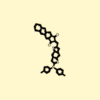 Cc1ccc(N(c2ccc(C)cc2)c2cc3cc4sc(C=C5C(=O)c6cc7cc8ccccc8cc7cc6C5=O)cc4cc3s2)cc1